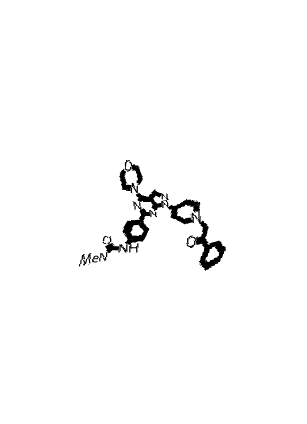 CNC(=O)Nc1ccc(-c2nc(N3CCOCC3)c3cnn(C4CCN(CC(=O)c5ccccc5)CC4)c3n2)cc1